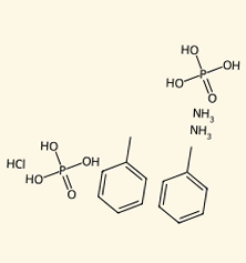 Cc1ccccc1.Cc1ccccc1.Cl.N.N.O=P(O)(O)O.O=P(O)(O)O